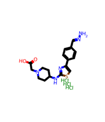 Cl.Cl.Cl.NN=Cc1ccc(-c2csc(NC3CCN(CC(=O)O)CC3)n2)cc1